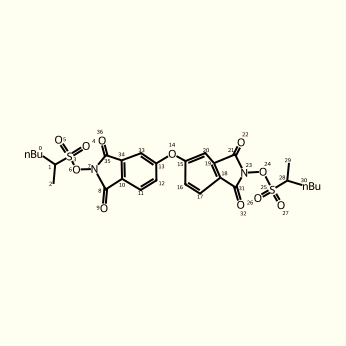 CCCCC(C)S(=O)(=O)ON1C(=O)c2ccc(Oc3ccc4c(c3)C(=O)N(OS(=O)(=O)C(C)CCCC)C4=O)cc2C1=O